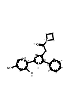 N#Cc1cnc(-c2nc(CC(=O)N3CCC3)c(-c3ccccc3)s2)c(O)c1